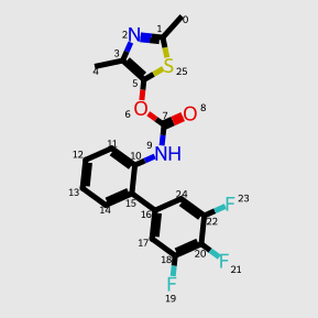 Cc1nc(C)c(OC(=O)Nc2ccccc2-c2cc(F)c(F)c(F)c2)s1